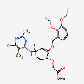 COC(=O)COC1C=CC(Cl)(Nc2nc(C)nc(Cl)c2[N+](=O)[O-])C=C1OCc1cccc(OCF)c1OCF